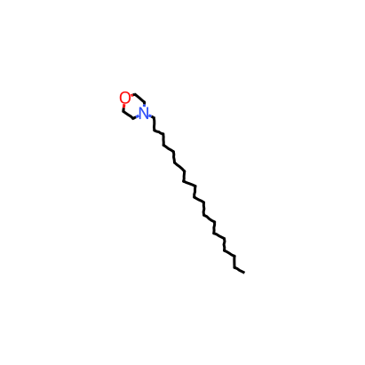 CCCCCCCCCCCCCCCCCCCN1CCOCC1